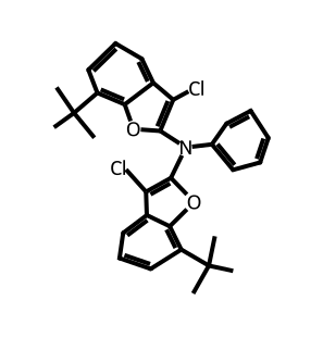 CC(C)(C)c1cccc2c(Cl)c(N(c3ccccc3)c3oc4c(C(C)(C)C)cccc4c3Cl)oc12